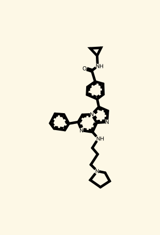 O=C(NC1CC1)c1ccc(-c2cnc3c(NCCCN4CCCC4)nc(-c4ccccc4)cn23)cc1